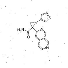 NC(=O)C1(c2cc3ccncc3cn2)CC1c1cnsc1